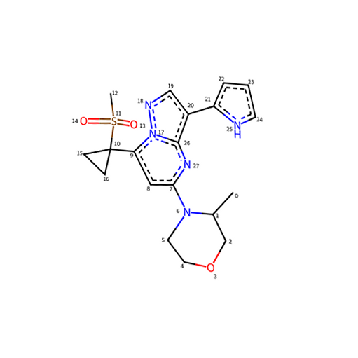 CC1COCCN1c1cc(C2(S(C)(=O)=O)CC2)n2ncc(-c3ccc[nH]3)c2n1